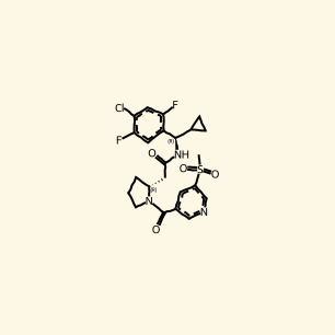 CS(=O)(=O)c1cncc(C(=O)N2CCC[C@@H]2CC(=O)N[C@@H](c2cc(F)c(Cl)cc2F)C2CC2)c1